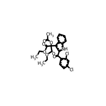 CCOC(=O)C(OC(C)=O)(C(=O)OCC)c1c(C(=O)c2ccc(Cl)cc2Cl)[nH]c2ccccc12